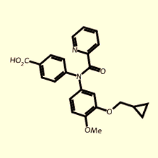 COc1ccc(N(C(=O)c2ccccn2)c2ccc(C(=O)O)cc2)cc1OCC1CC1